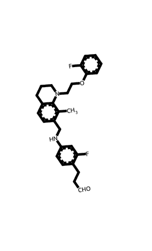 Cc1c(CNc2ccc(CCC=O)c(F)c2)ccc2c1N(CCOc1ccccc1F)CCC2